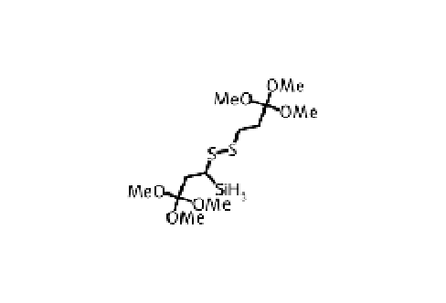 COC(CCSSC([SiH3])CC(OC)(OC)OC)(OC)OC